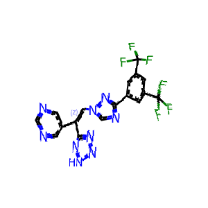 FC(F)(F)c1cc(-c2ncn(/C=C(/c3cncnc3)c3nn[nH]n3)n2)cc(C(F)(F)F)c1